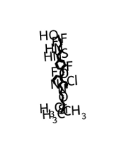 C[Si](C)(C)CCOCn1cc(Cl)c2c(Oc3c(F)cc(NC(=S)NCC(F)(F)CO)cc3F)ccnc21